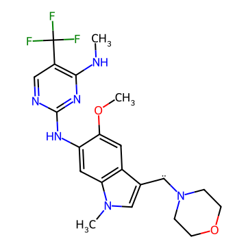 CNc1nc(Nc2cc3c(cc2OC)c([C]N2CCOCC2)cn3C)ncc1C(F)(F)F